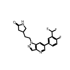 O=C1CC(CCn2ncc3ncc(-c4ccc(F)c(C(F)F)c4)cc32)CN1